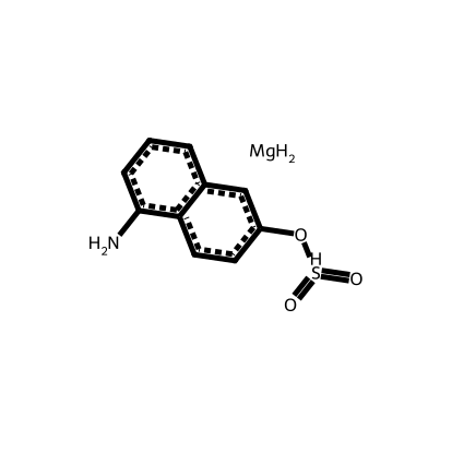 Nc1cccc2cc(O[SH](=O)=O)ccc12.[MgH2]